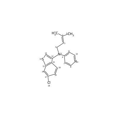 CC(C)=CCN(c1ccncc1)c1csc2cc(Cl)ccc12